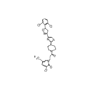 O=C(CCn1cc(C(F)(F)F)cc(Cl)c1=O)N1CCC(c2nc(C3=NOC(c4c(Cl)cccc4Cl)C3)cs2)CC1